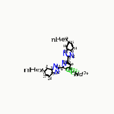 CCCCCCC1=CC2=NC(c3cccc(C4=NC5C=CC(CCCCCC)=CC5=N4)n3)=NC2C=C1.[Cl-].[Cl-].[Cl-].[Nd+3]